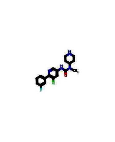 CN(C(=O)Nc1cnc(-c2cccc(F)c2)c(Cl)c1)C1CCNCC1